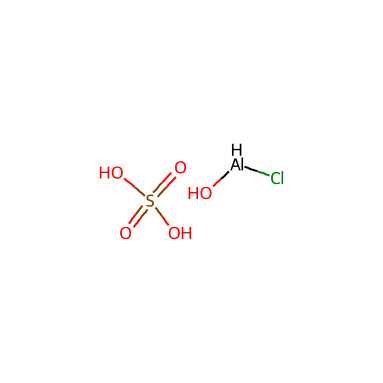 O=S(=O)(O)O.[OH][AlH][Cl]